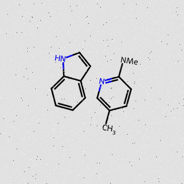 CNc1ccc(C)cn1.c1ccc2[nH]ccc2c1